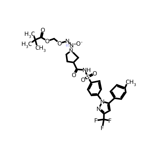 Cc1ccc(-c2cc(C(F)(F)F)nn2-c2ccc(S(=O)(=O)NC(=O)C3CCN(/[N+]([O-])=N\OCOC(=O)C(C)(C)C)C3)cc2)cc1